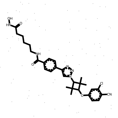 CC1(C)C(Oc2ccc(C#N)c(Cl)c2)C(C)(C)C1n1cc(-c2ccc(C(=O)NCCCCCC(=O)NO)cc2)nn1